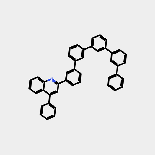 c1ccc(-c2cccc(-c3cccc(-c4cccc(-c5cccc(-c6cc(-c7ccccc7)c7ccccc7n6)c5)c4)c3)c2)cc1